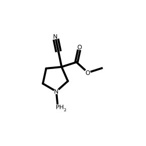 COC(=O)C1(C#N)CCN(P)C1